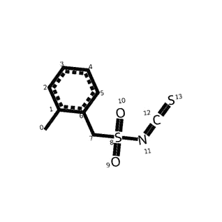 Cc1ccccc1CS(=O)(=O)N=C=S